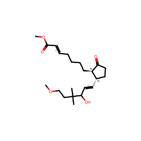 COCCC(C)(C)C(O)/C=C/[C@H]1CCC(=O)[C@@H]1CCCC/C=C/C(=O)OC